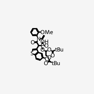 C=CN(C(=O)C(c1csc2ccc(Cl)cc12)P(=O)(O)OC(COC(=O)C(C)(C)C)OC(=O)C(C)(C)C)c1ccccc1OC